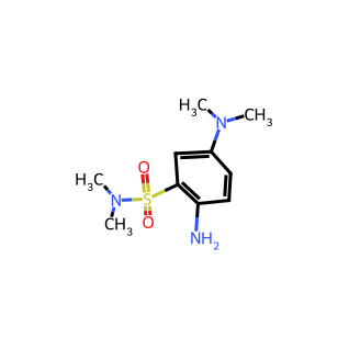 CN(C)c1ccc(N)c(S(=O)(=O)N(C)C)c1